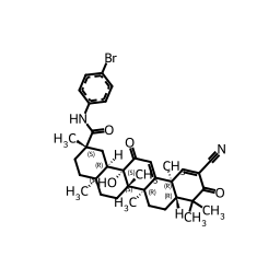 CC1(C)C(=O)C(C#N)=C[C@]2(C)C3=CC(=O)[C@]4(O)[C@@H]5C[C@@](C)(C(=O)Nc6ccc(Br)cc6)CC[C@]5(C)CC[C@@]4(C)[C@]3(C)CC[C@@H]12